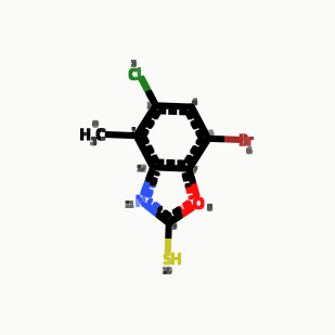 Cc1c(Cl)cc(Br)c2oc(S)nc12